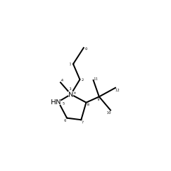 CCC[N+]1(C)NCCC1C(C)(C)C